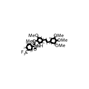 COc1cc(C=Cc2cc(OC)c(OC)c(OC)c2)cc(NS(=O)(=O)c2cccc(C(F)(F)F)c2)c1OC